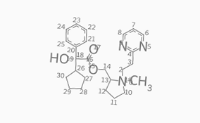 C[N+]1(CCc2ncccn2)CCCC1COC(=O)[C@](O)(c1ccccc1)C1CCCC1